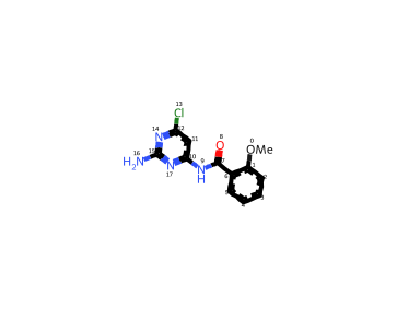 COc1ccccc1C(=O)Nc1cc(Cl)nc(N)n1